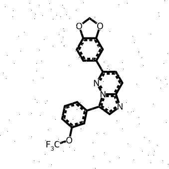 FC(F)(F)Oc1cccc(-c2cnc3ccc(-c4ccc5c(c4)OCO5)nn23)c1